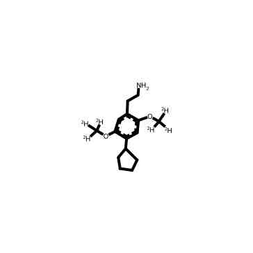 [2H]C([2H])([2H])Oc1cc(C2CCCC2)c(OC([2H])([2H])[2H])cc1CCN